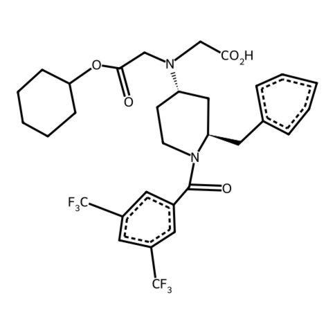 O=C(O)CN(CC(=O)OC1CCCCC1)[C@H]1CCN(C(=O)c2cc(C(F)(F)F)cc(C(F)(F)F)c2)[C@H](Cc2ccccc2)C1